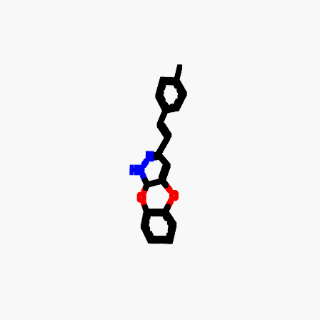 Cc1ccc(/C=C/C2=NNC3Oc4ccccc4OC3=C2)cc1